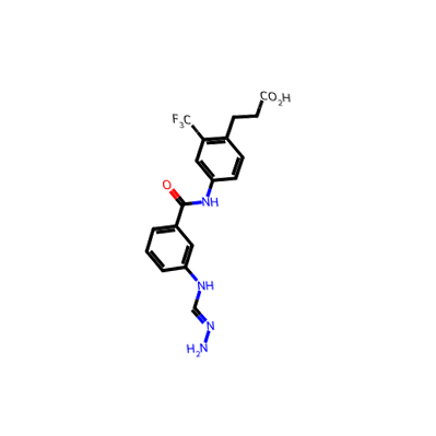 NN=CNc1cccc(C(=O)Nc2ccc(CCC(=O)O)c(C(F)(F)F)c2)c1